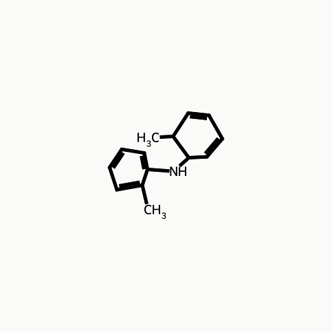 Cc1ccccc1NC1C=CC=CC1C